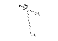 CC=CCC(CCCCCCCCCCCC)c1nnc(S)o1